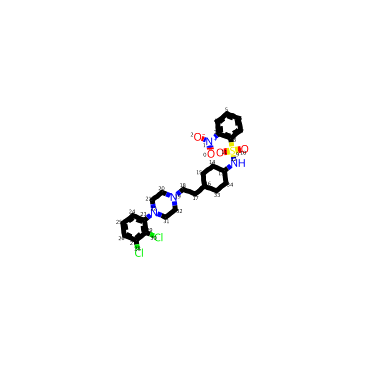 O=[N+]([O-])c1ccccc1S(=O)(=O)NC1CCC(CCN2CCN(c3cccc(Cl)c3Cl)CC2)CC1